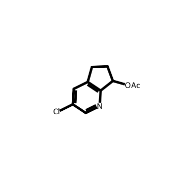 CC(=O)OC1CCc2cc(Cl)cnc21